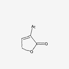 CC(=O)C1=CCOC1=O